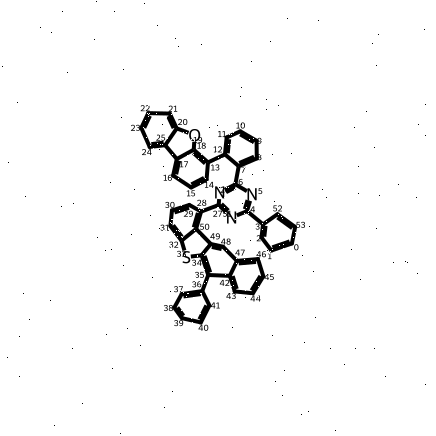 c1ccc(-c2nc(-c3ccccc3-c3cccc4c3oc3ccccc34)nc(-c3cccc4sc5c(-c6ccccc6)c6ccccc6cc5c34)n2)cc1